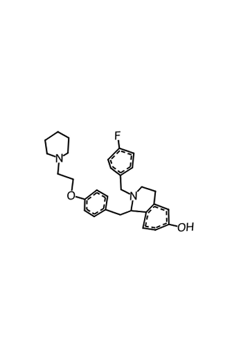 Oc1ccc2c(c1)CCN(Cc1ccc(F)cc1)C2Cc1ccc(OCCN2CCCCC2)cc1